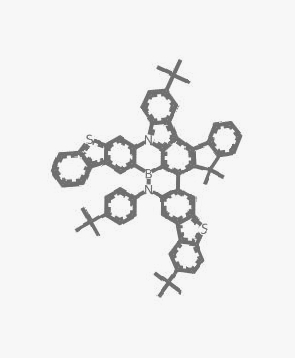 CC(C)(C)c1ccc(N2B3c4cc5c(cc4-n4c6ccc(C(C)(C)C)cc6c6c7c(c(c3c64)-c3cc4sc6ccc(C(C)(C)C)cc6c4cc32)C(C)(C)c2ccccc2-7)sc2ccccc25)cc1